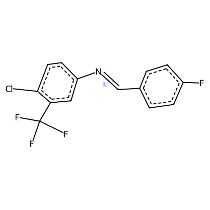 Fc1ccc(/C=N/c2ccc(Cl)c(C(F)(F)F)c2)cc1